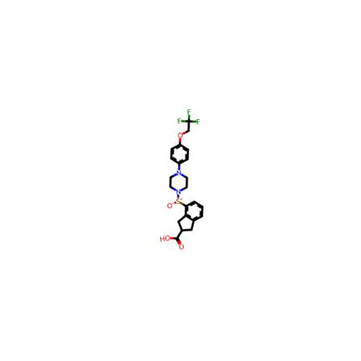 O=C(O)C1Cc2cccc([S+]([O-])N3CCN(c4ccc(OCC(F)(F)F)cc4)CC3)c2C1